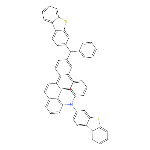 c1ccc(C(c2ccc3c(ccc4c3ccc3cccc(N(c5ccccc5)c5ccc6c(c5)sc5ccccc56)c34)c2)c2ccc3c(c2)sc2ccccc23)cc1